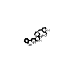 OCC1CC(CN2CCN3c4cc(-c5ccccc5O)nnc4NC[C@H]3C2)CCN1